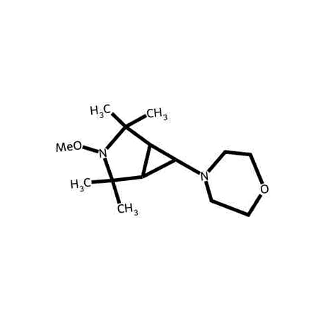 CON1C(C)(C)C2C(N3CCOCC3)C2C1(C)C